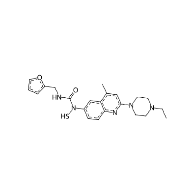 CCN1CCN(c2cc(C)c3cc(N(S)C(=O)NCc4ccco4)ccc3n2)CC1